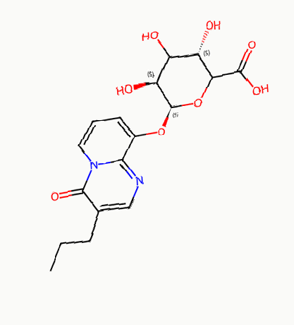 CCCc1cnc2c(O[C@@H]3OC(C(=O)O)[C@@H](O)C(O)[C@@H]3O)cccn2c1=O